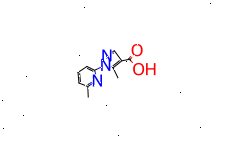 Cc1cccc(-n2ncc(C(=O)O)c2C)n1